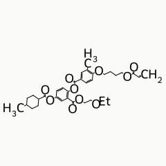 C=CC(=O)OCCCCOc1ccc(C(=O)Oc2ccc(OC(=O)C3CCC(C)CC3)cc2C(=O)OCCOCC)cc1C